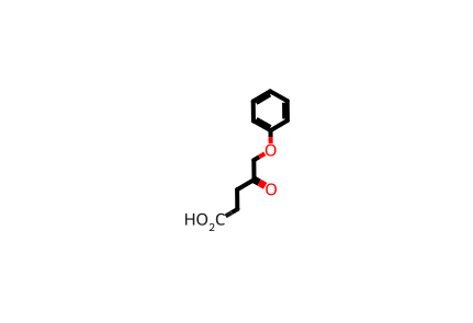 O=C(O)CCC(=O)COc1ccccc1